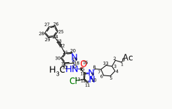 CC(=O)CCC1CCCC(Cn2ncc(Cl)c2C(=O)Nc2ncc(C#Cc3ccccc3)cc2C)C1